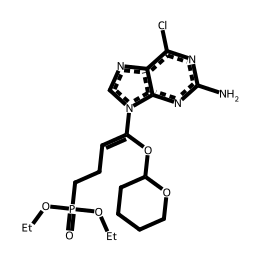 CCOP(=O)(CCC=C(OC1CCCCO1)n1cnc2c(Cl)nc(N)nc21)OCC